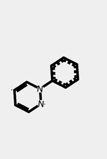 [C]1=CN(c2ccccc2)[N]C=C1